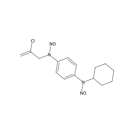 C=C(Cl)CN(N=O)c1ccc(N(N=O)C2CCCCC2)cc1